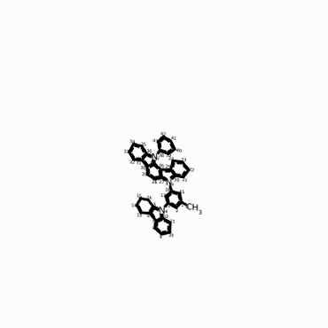 Cc1cc(-n2c3c(c4ccccc42)C=CCC3)cc(-n2c3ccccc3c3c2ccc2c4ccccc4n(-c4ccccc4)c23)c1